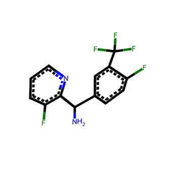 NC(c1ccc(F)c(C(F)(F)F)c1)c1ncccc1F